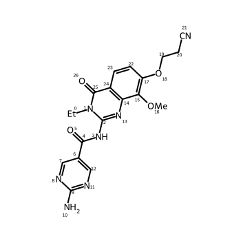 CCn1c(NC(=O)c2cnc(N)nc2)nc2c(OC)c(OCCC#N)ccc2c1=O